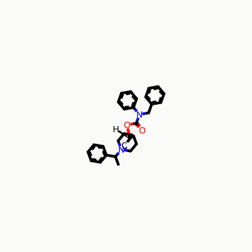 CC(c1ccccc1)[N+]12CCC(CC1)[C@@H](OC(=O)N(Cc1ccccc1)c1ccccc1)C2